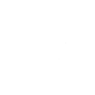 C=CC(C)CCC(C)=CCCC